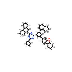 c1ccc(-c2nc(-c3cc(-c4ccc5c(c4)oc4ccccc45)cc(-c4cccc5ccccc45)c3)nc(-c3cc4ccccc4c4ccccc34)n2)cc1